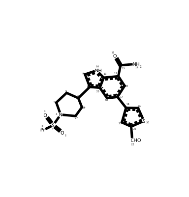 CC(C)S(=O)(=O)N1CCC(c2c[nH]c3c(C(N)=O)cc(-c4csc(C=O)c4)cc23)CC1